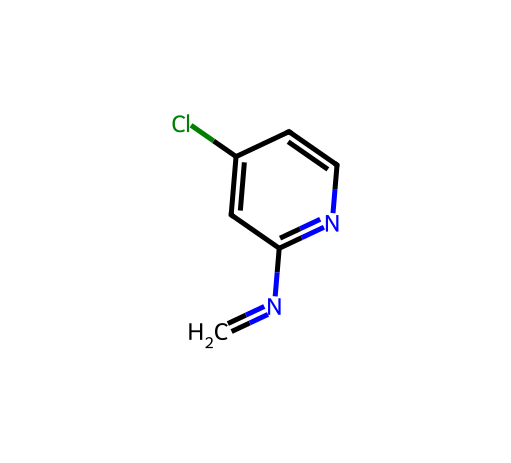 C=Nc1cc(Cl)ccn1